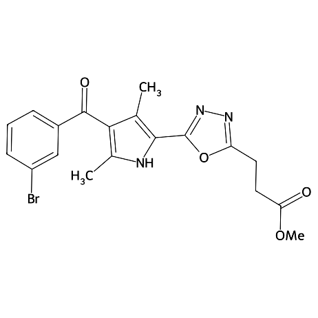 COC(=O)CCc1nnc(-c2[nH]c(C)c(C(=O)c3cccc(Br)c3)c2C)o1